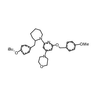 CC[C@@H](C)Oc1ccc(CC2CCCCCN2c2cc(N3CCOCC3)cc(OCc3ccc(OC)cc3)n2)cc1